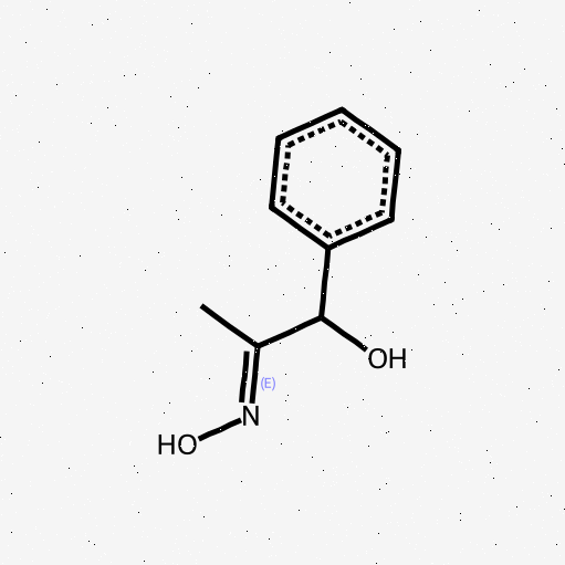 C/C(=N\O)C(O)c1ccccc1